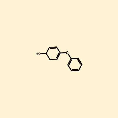 SC1C=CC(Oc2ccccc2)=CC1